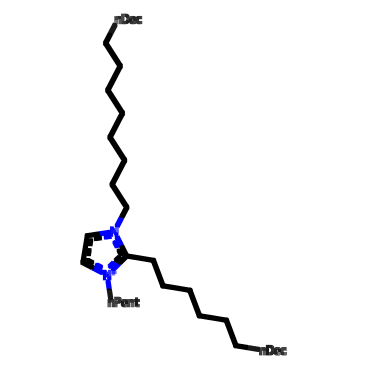 CCCCCCCCCCCCCCCCCCn1cc[n+](CCCCC)c1CCCCCCCCCCCCCCCC